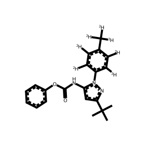 [2H]c1c([2H])c(C([2H])([2H])[2H])c([2H])c([2H])c1-n1nc(C(C)(C)C)cc1NC(=O)Oc1ccccc1